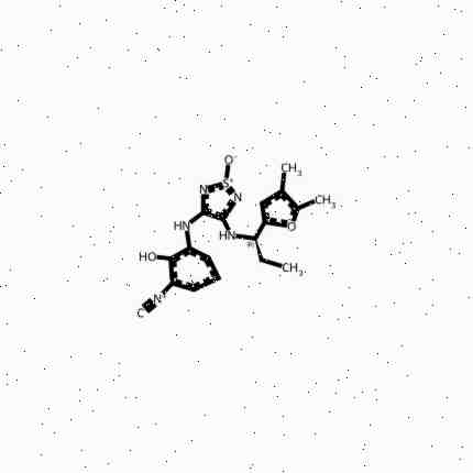 [C-]#[N+]c1cccc(Nc2n[s+]([O-])nc2N[C@H](CC)c2cc(C)c(C)o2)c1O